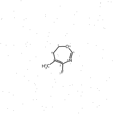 CC1=C(F)N=COCC1